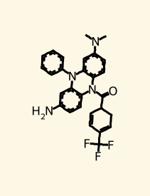 CN(C)c1ccc2c(c1)N(c1ccccc1)c1cc(N)ccc1N2C(=O)C1C=CC(C(F)(F)F)=CC1